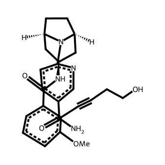 COc1cccc(C(=O)N[C@H]2C[C@H]3CC[C@@H](C2)N3c2ccc(C(N)=O)cn2)c1C#CCCO